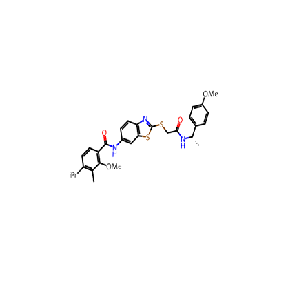 COc1ccc([C@H](C)NC(=O)CSc2nc3ccc(NC(=O)c4ccc(C(C)C)c(C)c4OC)cc3s2)cc1